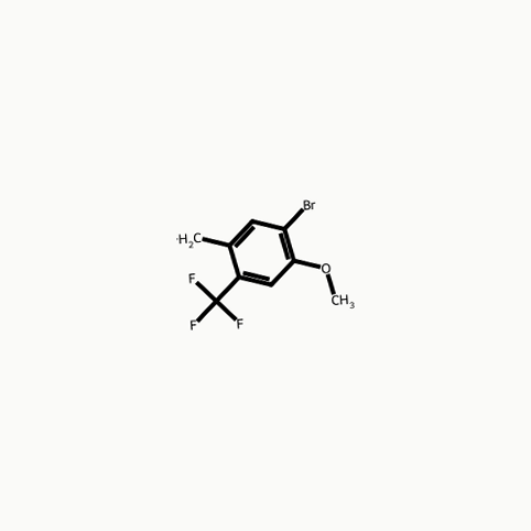 [CH2]c1cc(Br)c(OC)cc1C(F)(F)F